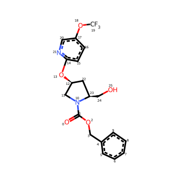 O=C(OCc1ccccc1)N1C[C@@H](Oc2ccc(OC(F)(F)F)cn2)C[C@H]1CO